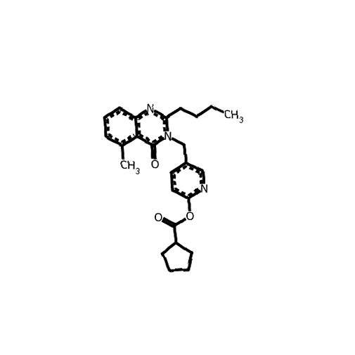 CCCCc1nc2cccc(C)c2c(=O)n1Cc1ccc(OC(=O)C2CCCC2)nc1